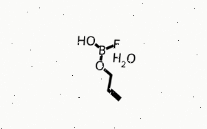 C=CCOB(O)F.O